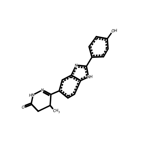 CC1CC(=O)NN=C1c1ccc2[nH]c(-c3ccc(O)cc3)nc2c1